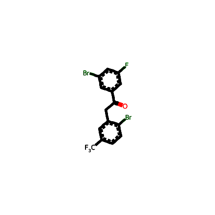 O=C(Cc1cc(C(F)(F)F)ccc1Br)c1cc(F)cc(Br)c1